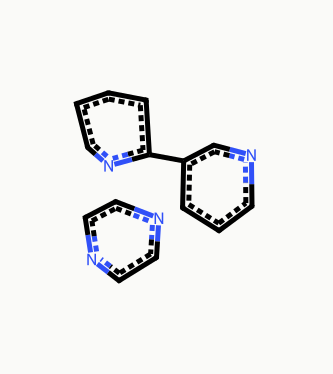 c1ccc(-c2cccnc2)nc1.c1cnccn1